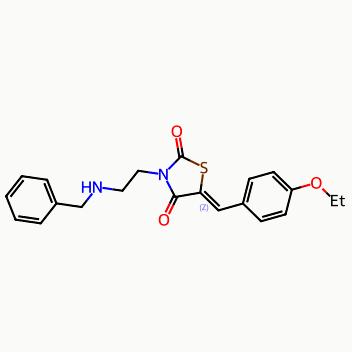 CCOc1ccc(/C=C2\SC(=O)N(CCNCc3ccccc3)C2=O)cc1